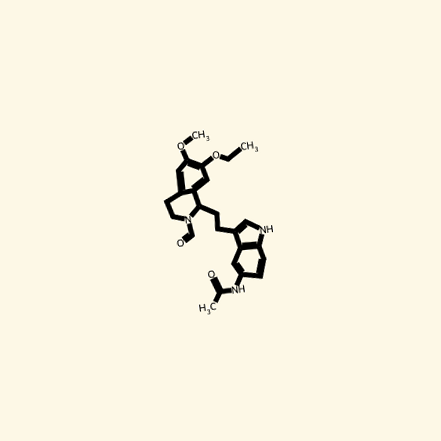 CCOc1cc2c(cc1OC)CCN(C=O)C2CCc1c[nH]c2ccc(NC(C)=O)cc12